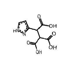 O=C(O)C(C(=O)O)C(C(=O)O)c1cc[nH]n1